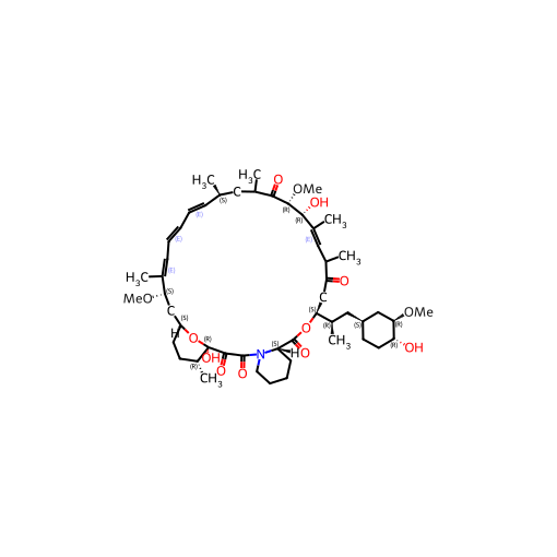 CO[C@H]1C[C@@H]2CC[C@@H](C)[C@@](O)(O2)C(=O)C(=O)N2CCCC[C@H]2C(=O)O[C@H]([C@H](C)C[C@@H]2CC[C@@H](O)[C@H](OC)C2)CC(=O)C(C)/C=C(\C)[C@@H](O)[C@@H](OC)C(=O)C(C)C[C@H](C)/C=C/C=C/C=C/1C